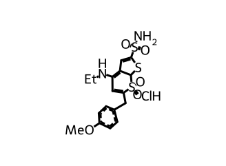 CCNC1=C2C=C(S(N)(=O)=O)SC2S(=O)(=O)C(Cc2ccc(OC)cc2)=C1.Cl